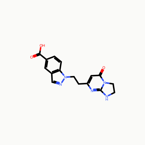 O=C(O)c1ccc2c(cnn2CCc2cc(=O)n3c(n2)NCC3)c1